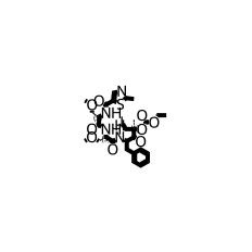 CCOC(=O)O[C@](C)(CI)C(=O)C(Cc1ccccc1)NC(=O)[C@H](COC)NC(=O)[C@H](COC)NC(=O)c1cnc(C)s1